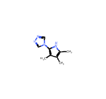 Cc1[nH]c(-n2cnnc2)c(C)c1C